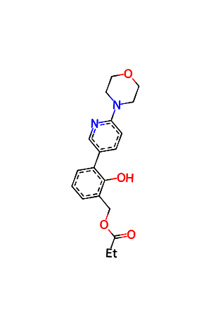 CCC(=O)OCc1cccc(-c2ccc(N3CCOCC3)nc2)c1O